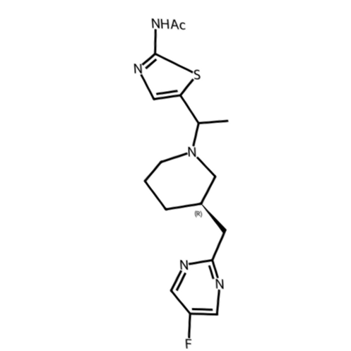 CC(=O)Nc1ncc(C(C)N2CCC[C@H](Cc3ncc(F)cn3)C2)s1